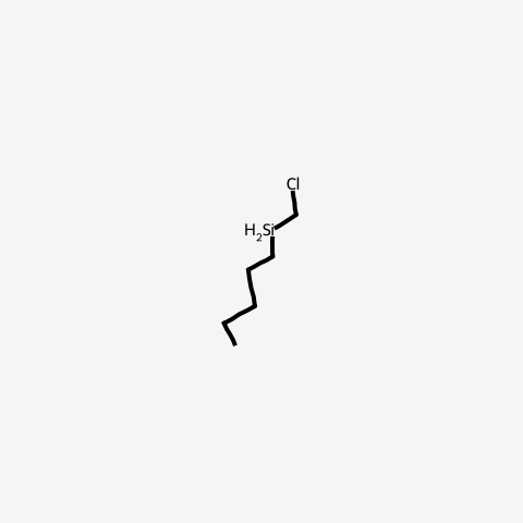 CCCCC[SiH2]CCl